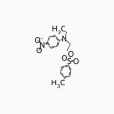 CCN(CCOS(=O)(=O)c1ccc(C)cc1)c1ccc([N+](=O)[O-])cc1